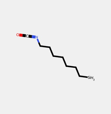 O=C=NCCCCCCC[SiH3]